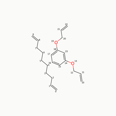 C=CCCCCCCC=C.C=CCOc1cccc(OCC=C)c1